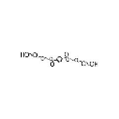 O=C(OCCOCCOCCO)c1ccc(C(=O)OCCOCCOCCO)cc1